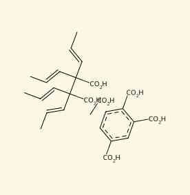 CC(=O)O.CC=CC(C=CC)(C(=O)O)C(C=CC)(C=CC)C(=O)O.O=C(O)c1ccc(C(=O)O)c(C(=O)O)c1